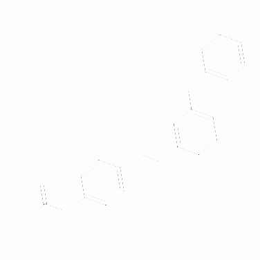 CC(=O)Oc1ccc(OCc2cccc(Oc3ccccc3)c2)cc1